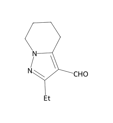 CCc1nn2c(c1C=O)CCCC2